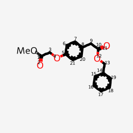 COC(=O)COc1ccc(CC(=O)OCc2ccccc2)cc1